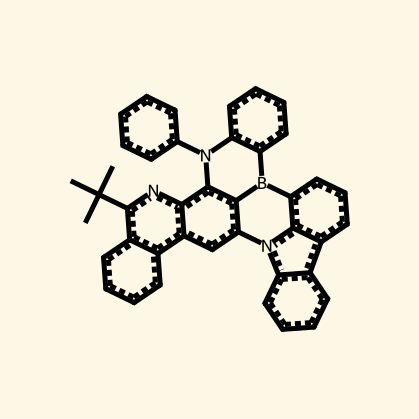 CC(C)(C)c1nc2c3c4c(cc2c2ccccc12)-n1c2ccccc2c2cccc(c21)B4c1ccccc1N3c1ccccc1